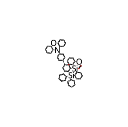 c1ccc([Si]2(c3ccccc3)c3ccccc3[Si]3(c4ccccc4Oc4ccccc43)c3cc(-c4ccc(N5c6ccccc6Oc6ccccc65)cc4)ccc32)cc1